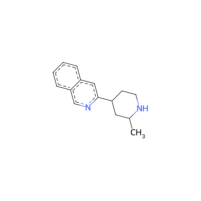 CC1CC(c2cc3ccccc3cn2)CCN1